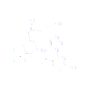 COCCN(C)Cc1cc(NC(=O)c2ccc(C)nc2-n2ccnn2)cc(C(F)(F)F)c1